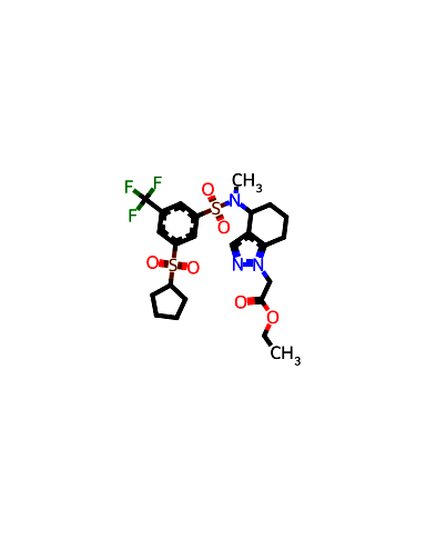 CCOC(=O)Cn1ncc2c1CCCC2N(C)S(=O)(=O)c1cc(C(F)(F)F)cc(S(=O)(=O)C2CCCC2)c1